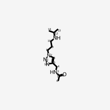 CC(=O)NCc1cn(CCCNC(C)C)nn1